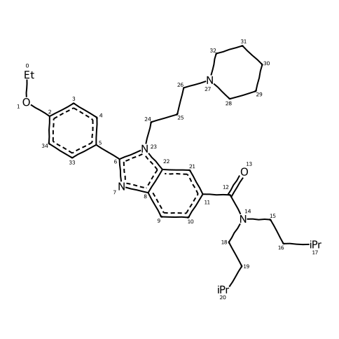 CCOc1ccc(-c2nc3ccc(C(=O)N(CCC(C)C)CCC(C)C)cc3n2CCCN2CCCCC2)cc1